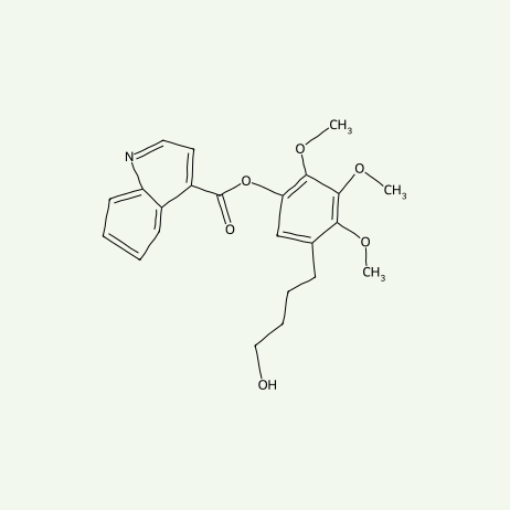 COc1c(CCCCO)cc(OC(=O)c2ccnc3ccccc23)c(OC)c1OC